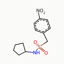 O=[N+]([O-])c1ccc(CS(=O)(=O)NC2CCCC2)cc1